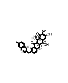 C=C(Cc1ccc(C)cc1C(C)(C)C)Cc1ccc2c(c1O)C(=O)C1=C(O)[C@@]3(O)C(=O)C(C(C)=O)=C(O)C[C@H]3[C@H](O)[C@H]1[C@@H]2C